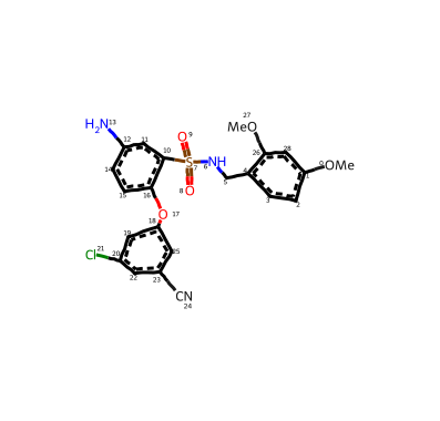 COc1ccc(CNS(=O)(=O)c2cc(N)ccc2Oc2cc(Cl)cc(C#N)c2)c(OC)c1